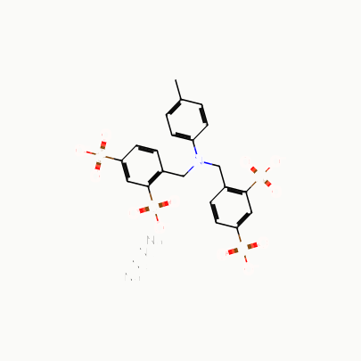 Cc1ccc(N(Cc2ccc(S(=O)(=O)[O-])cc2S(=O)(=O)[O-])Cc2ccc(S(=O)(=O)[O-])cc2S(=O)(=O)[O-])cc1.[Na+].[Na+].[Na+].[Na+]